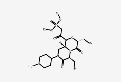 CCOP(=O)(CC(=O)N1O[C@H](CC(C)C)C(=O)N2[C@@H]1CN(C1CCN(C)CC1)C(=O)[C@@H]2CC(C)C)OCC